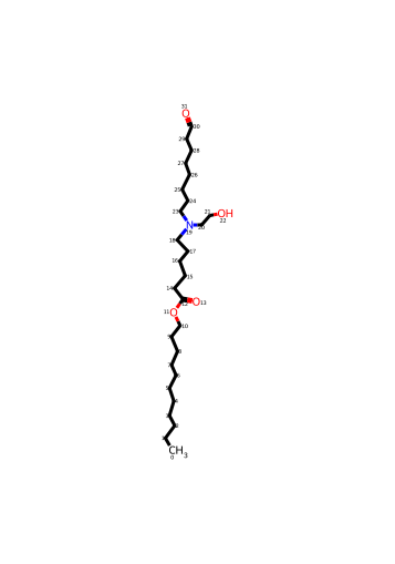 CCCCCCCCCCCOC(=O)CCCCCN(CCO)CCCCCCCC=O